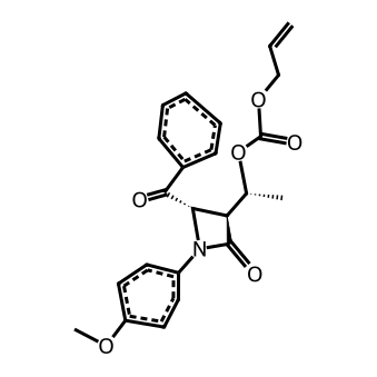 C=CCOC(=O)O[C@H](C)[C@H]1C(=O)N(c2ccc(OC)cc2)[C@@H]1C(=O)c1ccccc1